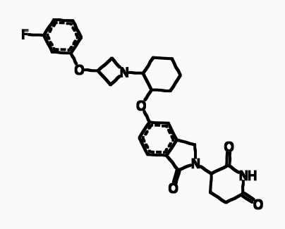 O=C1CCC(N2Cc3cc(OC4CCCCC4N4CC(Oc5cccc(F)c5)C4)ccc3C2=O)C(=O)N1